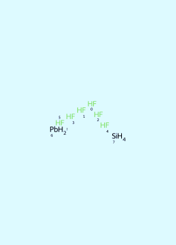 F.F.F.F.F.F.[PbH2].[SiH4]